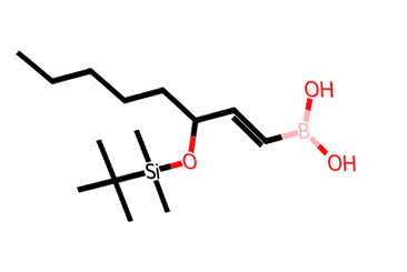 CCCCCC(/C=C/B(O)O)O[Si](C)(C)C(C)(C)C